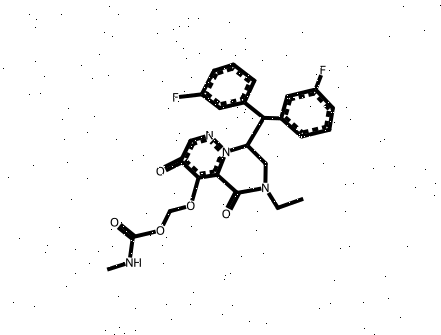 CCN1CC(C(c2cccc(F)c2)c2cccc(F)c2)n2ncc(=O)c(OCOC(=O)NC)c2C1=O